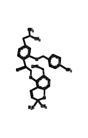 Cc1ccc(COc2cc(CC(C)C)ccc2C(=O)COc2c(CN=O)ccc3c2C=CC(C)(C)O3)cc1